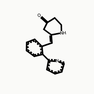 O=C1CCNC(=Cc2ccccc2-c2ccccn2)C1